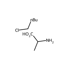 CC(N)C(=O)O.CCCCCCl